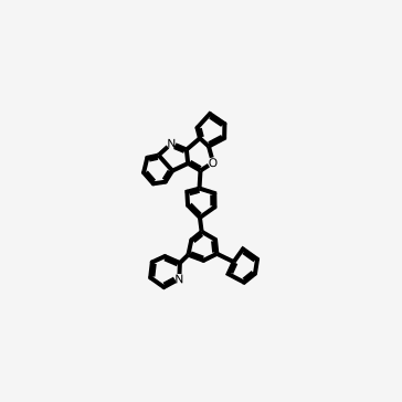 c1ccc(-c2cc(-c3ccc(-c4oc5ccccc5c5nc6ccccc6c4-5)cc3)cc(-c3ccccn3)c2)cc1